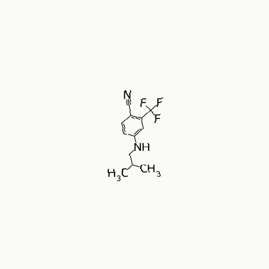 CC(C)CNc1ccc(C#N)c(C(F)(F)F)c1